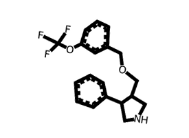 FC(F)(F)Oc1cccc(COCC2CNCC2c2ccccc2)c1